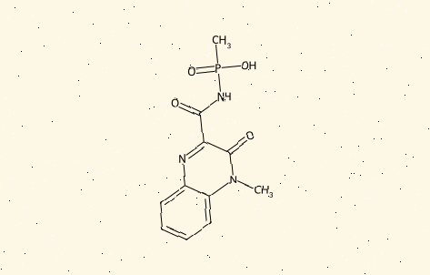 Cn1c(=O)c(C(=O)NP(C)(=O)O)nc2ccccc21